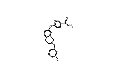 NC(=O)c1ccc(Oc2ccc3c(c2)CN(Cc2cccc(Cl)c2)CC3)nc1